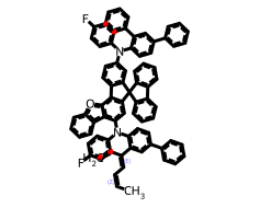 C=C/C(=C\C=C/C)c1cc(-c2ccccc2)ccc1N(c1ccc(F)cc1)c1cc2c(c3oc4ccccc4c13)-c1ccc(N(c3ccc(F)cc3)c3ccc(-c4ccccc4)cc3-c3ccccc3)cc1C21c2ccccc2-c2ccccc21